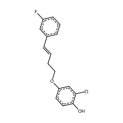 Oc1ccc(OCCC=Cc2cccc(F)c2)cc1Cl